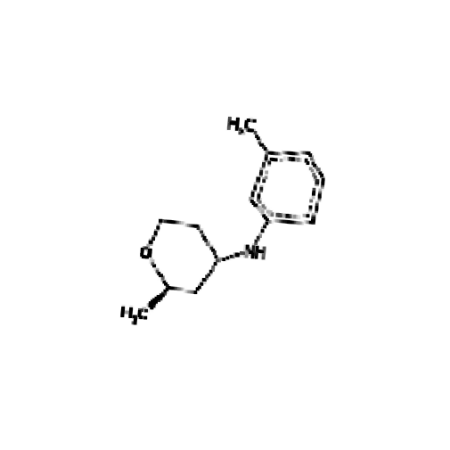 Cc1cccc(NC2CCO[C@H](C)C2)c1